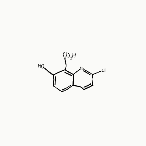 O=C(O)c1c(O)ccc2ccc(Cl)nc12